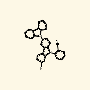 N#Cc1ccccc1-n1c2ccc(-n3c4ccccc4c4ccccc43)cc2c2ccc(F)cc21